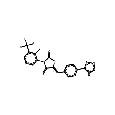 Cc1c(N2C(=O)S/C(=C\c3ccc(-c4nnc[nH]4)cc3)C2=O)cccc1C(F)(F)F